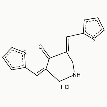 Cl.O=C1C(=Cc2cccs2)CNCC1=Cc1cccs1